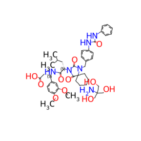 COc1ccc([C@H](CC(=O)O)NC(=O)[C@H](CC(C)C)N2C(=O)N(Cc3ccc(NC(=O)Nc4ccccc4)cc3)C3(CCCCC3)C2=O)cc1OC.NC(CO)(CO)CO